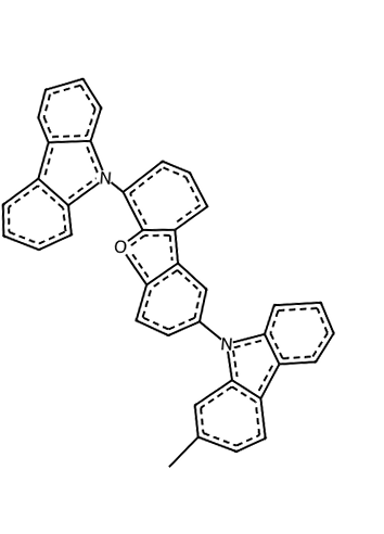 Cc1ccc2c3ccccc3n(-c3ccc4oc5c(-n6c7ccccc7c7ccccc76)cccc5c4c3)c2c1